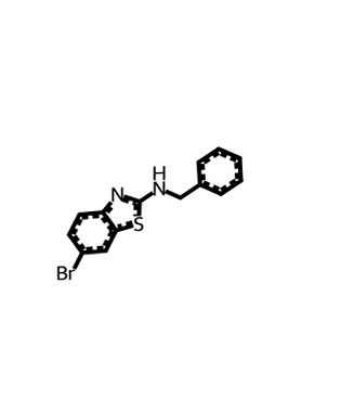 Brc1ccc2nc(NCc3ccccc3)sc2c1